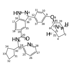 CN1[C@@H]2CC[C@H]1C[C@@H](Oc1ccc(-c3n[nH]c4ccc(C(=O)NC(c5ccccn5)C5CCCC5)cc34)cc1)C2